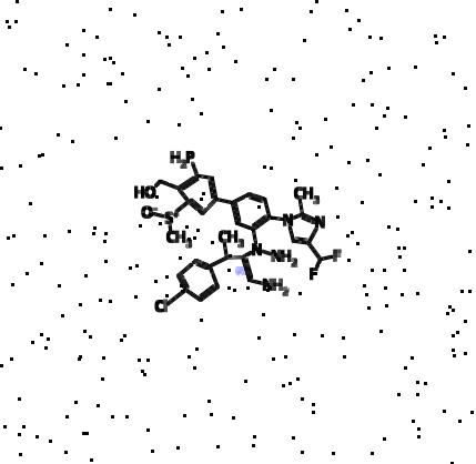 Cc1nc(C(F)F)cn1-c1ccc(-c2cc(P)c(CO)c([S+](C)[O-])c2)cc1N(N)/C(=C\N)C(C)c1ccc(Cl)cc1